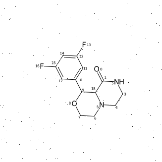 O=C1NCCN2CCOC(c3cc(F)cc(F)c3)C12